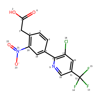 O=C(O)Cc1ccc(-c2ncc(C(F)(F)F)cc2Cl)cc1[N+](=O)[O-]